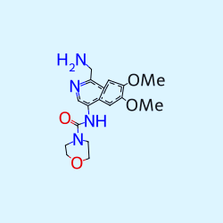 COc1cc2c(NC(=O)N3CCOCC3)cnc(CN)c2cc1OC